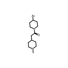 CC(=O)C1CCN(C(=O)CC2CCN(C)CC2)CC1